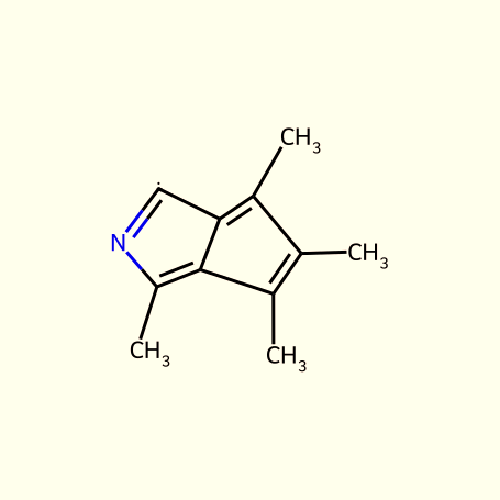 CC1=C2C(C)=C(C)C(C)=C2[C]=N1